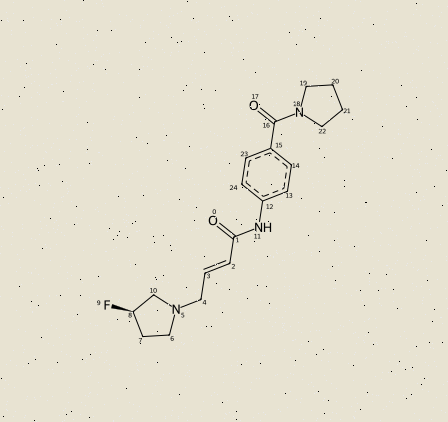 O=C(/C=C/CN1CC[C@@H](F)C1)Nc1ccc(C(=O)N2CCCC2)cc1